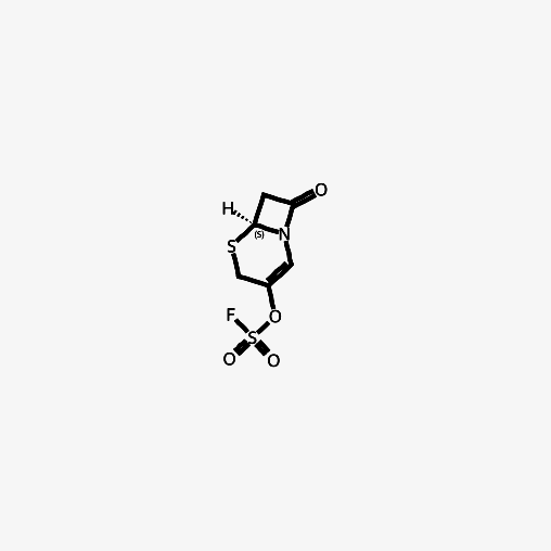 O=C1C[C@@H]2SCC(OS(=O)(=O)F)=CN12